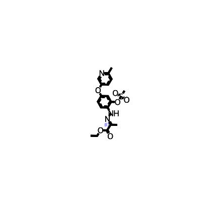 CCOC(=O)/C(C)=N/Nc1ccc(Oc2ccc(C)nc2)cc1OS(C)(=O)=O